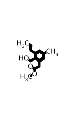 CC=Cc1cc(C)cc(CC(=O)OC)c1CO